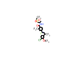 CC(CS(=O)(=O)CC(F)(F)F)NC(=O)c1ccc(/C(F)=C/C(c2ccc(Cl)c(OC(F)(F)F)c2)C(F)(F)F)cc1C(F)(F)F